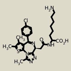 Cc1sc2c(c1C)C(c1ccc(Cl)cc1)=N[C@@H](CC(=O)NC(CCCCCCN)C(=O)O)c1nnc(C)n1-2